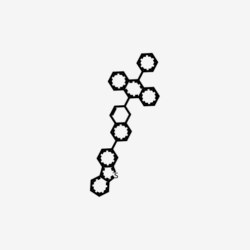 C1=CC(c2c3ccccc3c(-c3ccccc3)c3ccccc23)Cc2ccc(-c3ccc4c(c3)sc3ccccc34)cc21